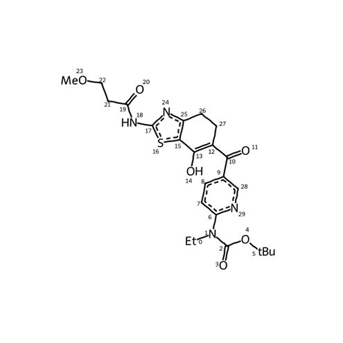 CCN(C(=O)OC(C)(C)C)c1ccc(C(=O)C2=C(O)c3sc(NC(=O)CCOC)nc3CC2)cn1